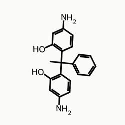 CC(c1ccccc1)(c1ccc(N)cc1O)c1ccc(N)cc1O